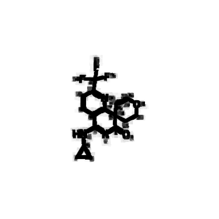 O=C1N=C(NC2CC2)c2ccc(C(F)(F)F)nc2[C@@]12CCOc1ccccc12